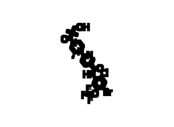 C[C@@H]1CN(C(=O)C(C)(C)CO)CCN1c1ccc(C(=O)Nc2cc(OC(F)(F)F)c(Br)cc2Cl)cn1